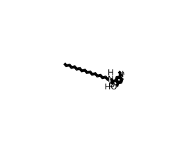 CCCCCCCCCCCCCCCCCCNC(=O)c1cc(N(C)C)ccc1CO